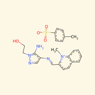 C[n+]1c(C=Nc2cnn(CCO)c2N)ccc2ccccc21.Cc1ccc(S(=O)(=O)[O-])cc1